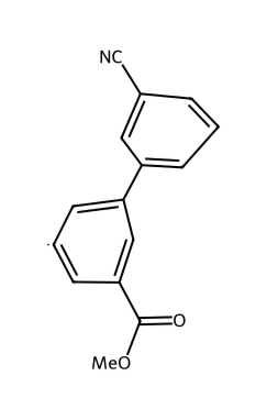 COC(=O)c1c[c]cc(-c2cccc(C#N)c2)c1